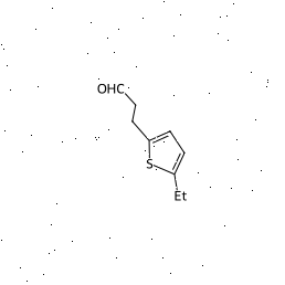 CCc1ccc(CCC=O)s1